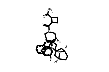 Cc1nc2ccccc2n1C1C[C@H]2CC[C@@H](C1)N2CCC1(c2cccc(F)c2)CCN(C(=O)C2CCC2C(N)=O)CC1